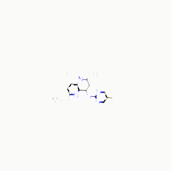 CCOC(=O)N1c2ccc(OC)nc2C(Nc2ncc(Br)cn2)CC1C